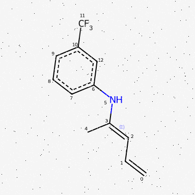 C=C/C=C(\C)Nc1cccc(C(F)(F)F)c1